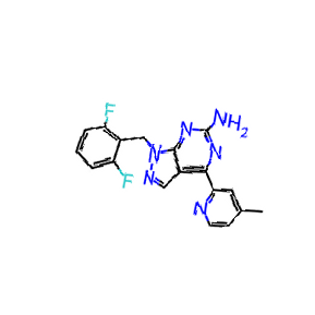 Cc1ccnc(-c2nc(N)nc3c2cnn3Cc2c(F)cccc2F)c1